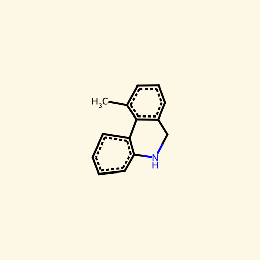 Cc1cccc2c1-c1ccccc1NC2